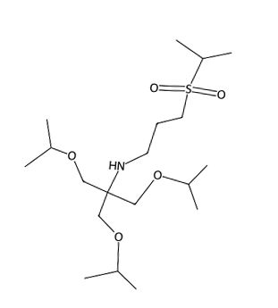 CC(C)OCC(COC(C)C)(COC(C)C)NCCCS(=O)(=O)C(C)C